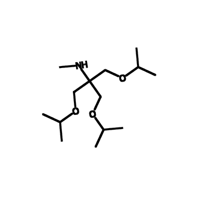 CNC(COC(C)C)(COC(C)C)COC(C)C